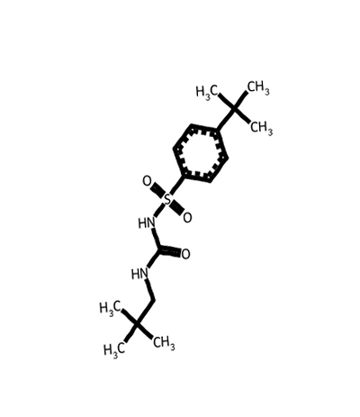 CC(C)(C)CNC(=O)NS(=O)(=O)c1ccc(C(C)(C)C)cc1